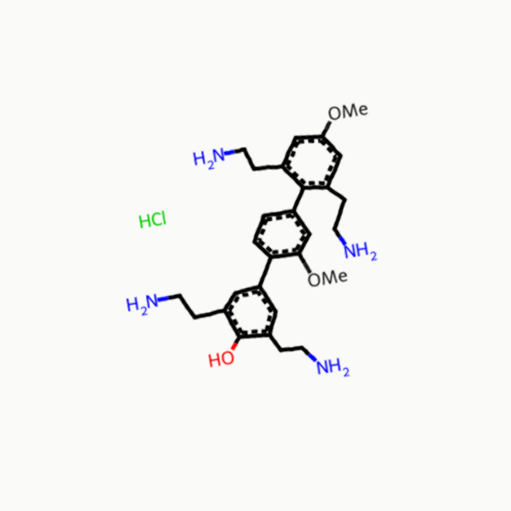 COc1cc(CCN)c(-c2ccc(-c3cc(CCN)c(O)c(CCN)c3)c(OC)c2)c(CCN)c1.Cl